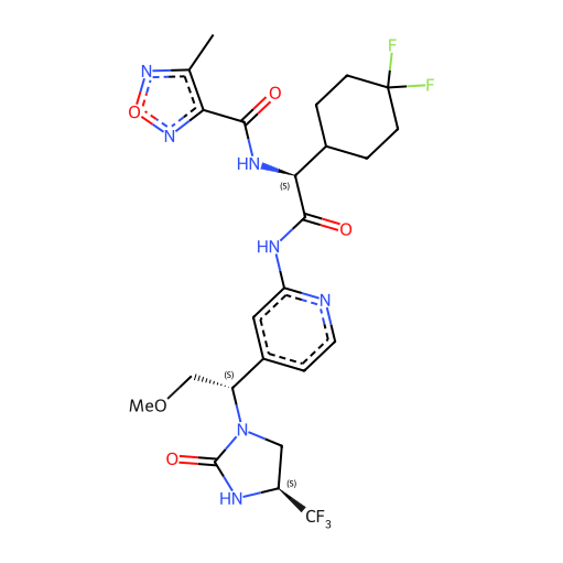 COC[C@H](c1ccnc(NC(=O)[C@@H](NC(=O)c2nonc2C)C2CCC(F)(F)CC2)c1)N1C[C@@H](C(F)(F)F)NC1=O